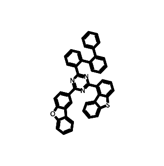 c1ccc(-c2ccccc2-c2ccccc2-c2nc(-c3ccc4oc5ccccc5c4c3)nc(-c3cccc4sc5ccccc5c34)n2)cc1